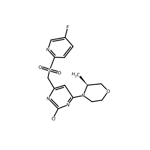 C[C@H]1COCCN1c1cc(CS(=O)(=O)c2ccc(F)cn2)nc(Cl)n1